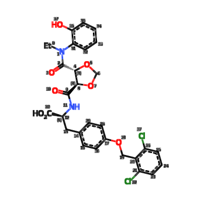 CCN(C(=O)[C@@H]1OCO[C@H]1C(=O)N[C@@H](Cc1ccc(OCc2c(Cl)cccc2Cl)cc1)C(=O)O)c1ccccc1O